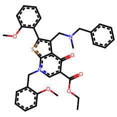 CCOC(=O)c1cn(Cc2ccccc2OC)c2sc(-c3ccccc3OC)c(CN(C)Cc3ccccc3)c2c1=O